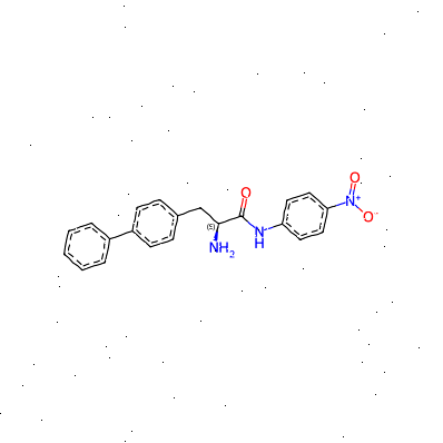 N[C@@H](Cc1ccc(-c2ccccc2)cc1)C(=O)Nc1ccc([N+](=O)[O-])cc1